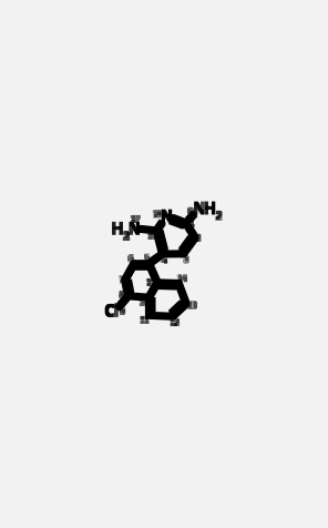 Nc1ccc(-c2ccc(Cl)c3ccccc23)c(N)n1